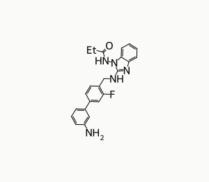 CCC(=O)Nn1c(NCc2ccc(-c3cccc(N)c3)cc2F)nc2ccccc21